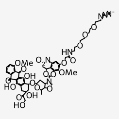 COc1cc(C(C)OC(=O)N2COC3C(C)OC(OC4CC(O)(C(=O)CO)Cc5c(O)c6c(c(O)c54)C(=O)c4c(OC)cccc4C6=O)CC32)c([N+](=O)[O-])cc1OCC(=O)NCCOCCOCCOCCN=[N+]=[N-]